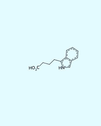 O=C(O)CCCc1[nH]cc2ccccc12